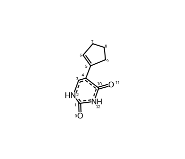 O=c1[nH]cc(C2=CCCC2)c(=O)[nH]1